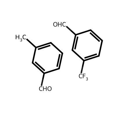 Cc1cccc(C=O)c1.O=Cc1cccc(C(F)(F)F)c1